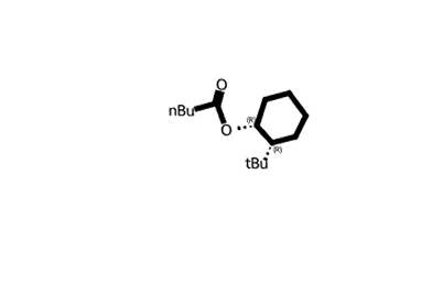 CCCCC(=O)O[C@@H]1CCCC[C@@H]1C(C)(C)C